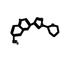 Cc1ccc2ncc(-c3cnn(C4CCCCO4)c3)cc2c1